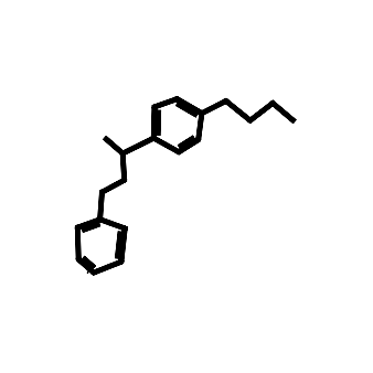 CCCCc1ccc(C(C)CCc2cc[c]cc2)cc1